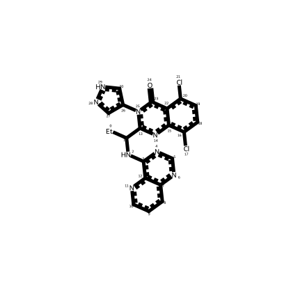 CCC(Nc1ncnc2cccnc12)c1nc2c(Cl)ccc(Cl)c2c(=O)n1-c1cn[nH]c1